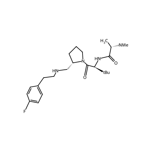 CN[C@@H](C)C(=O)N[C@H](C(=O)N1CCC[C@H]1CNCCc1ccc(F)cc1)C(C)(C)C